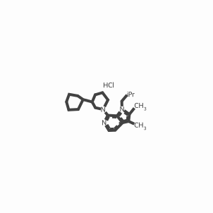 Cc1c(C)n(CC(C)C)c2c(N3CCCC(C4CCCCC4)C3)nccc12.Cl